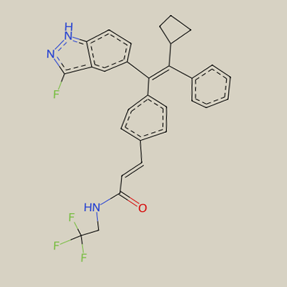 O=C(/C=C/c1ccc(/C(=C(\c2ccccc2)C2CCC2)c2ccc3[nH]nc(F)c3c2)cc1)NCC(F)(F)F